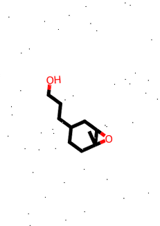 CC12CCC(CCCO)CC1O2